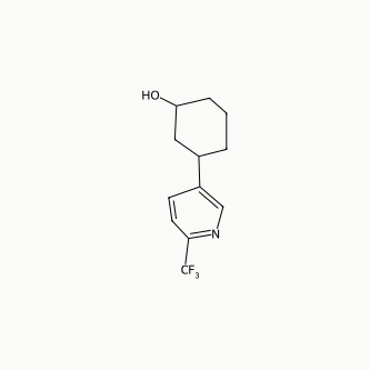 OC1CCCC(c2ccc(C(F)(F)F)nc2)C1